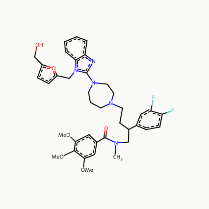 COc1cc(C(=O)N(C)CC(CCN2CCCN(c3nc4ccccc4n3Cc3ccc(CO)o3)CC2)c2ccc(F)c(F)c2)cc(OC)c1OC